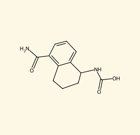 NC(=O)c1cccc2c1CCCC2NC(=O)O